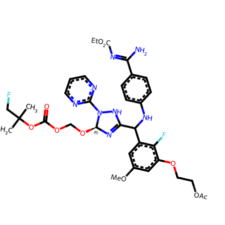 CCOC(=O)N=C(N)c1ccc(NC(C2=N[C@@H](OCOC(=O)OC(C)(C)CF)N(c3ncccn3)N2)c2cc(OC)cc(OCCOC(C)=O)c2F)cc1